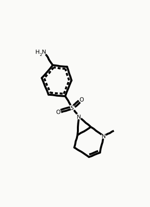 CN1C=CCC2C1N2S(=O)(=O)c1ccc(N)cc1